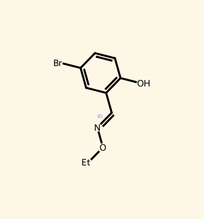 CCO/N=C/c1cc(Br)ccc1O